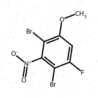 COc1cc(F)c(Br)c([N+](=O)[O-])c1Br